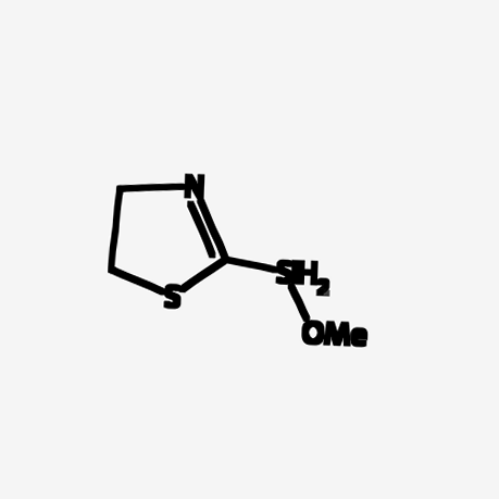 CO[SiH2]C1=NCCS1